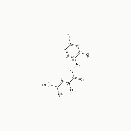 CCOC(=O)C(C)=NN(C)C(=O)COc1ccc(Cl)cc1Cl